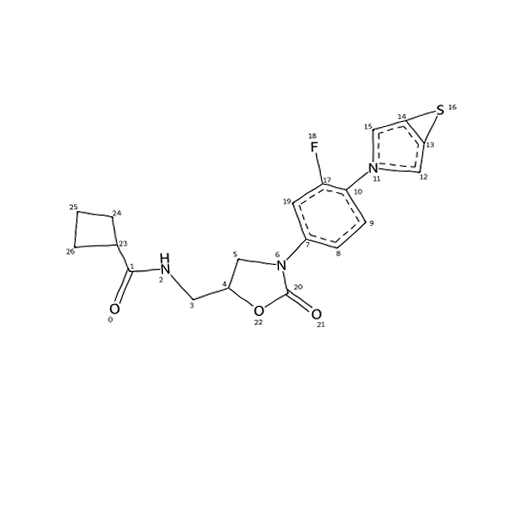 O=C(NCC1CN(c2ccc(-n3cc4c(c3)S4)c(F)c2)C(=O)O1)C1CCC1